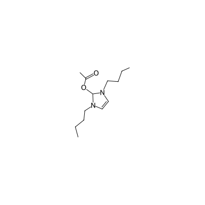 CCCCN1C=CN(CCCC)C1OC(C)=O